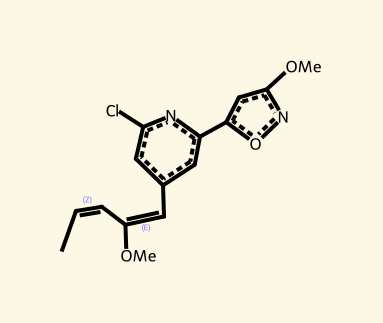 C/C=C\C(=C/c1cc(Cl)nc(-c2cc(OC)no2)c1)OC